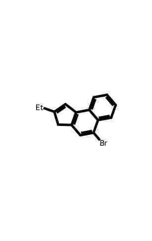 CCC1=Cc2c(cc(Br)c3ccccc23)C1